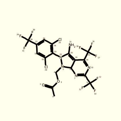 CC(=O)OCN1C2N=C(C(F)(F)F)N=C(C(F)(F)F)C2=C(N)N1c1c(Cl)cc(C(F)(F)F)cc1Cl